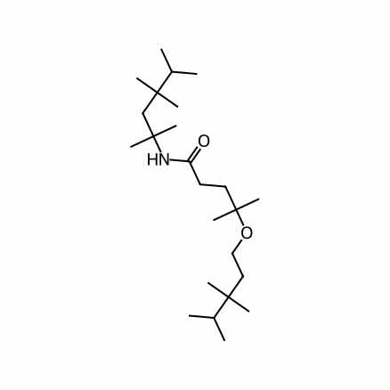 CC(C)C(C)(C)CCOC(C)(C)CCC(=O)NC(C)(C)CC(C)(C)C(C)C